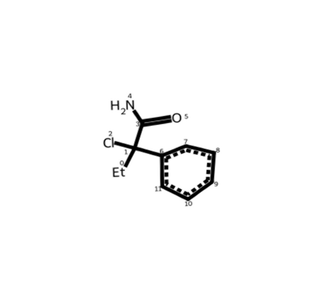 CCC(Cl)(C(N)=O)c1ccccc1